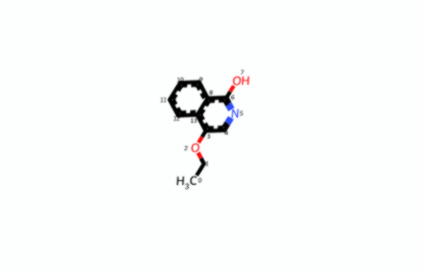 CCOc1cnc(O)c2ccccc12